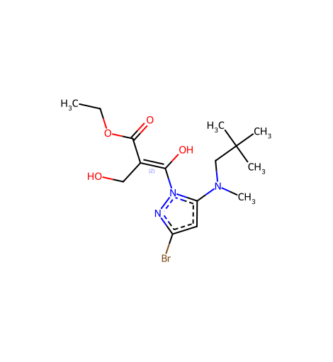 CCOC(=O)/C(CO)=C(\O)n1nc(Br)cc1N(C)CC(C)(C)C